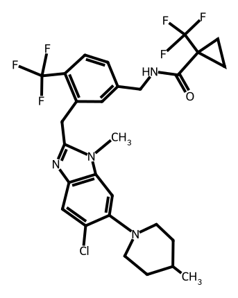 CC1CCN(c2cc3c(cc2Cl)nc(Cc2cc(CNC(=O)C4(C(F)(F)F)CC4)ccc2C(F)(F)F)n3C)CC1